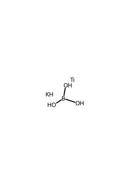 OB(O)O.[KH].[Ti]